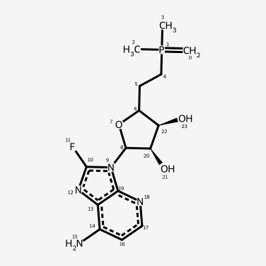 C=P(C)(C)CCC1OC(n2c(F)nc3c(N)ccnc32)[C@H](O)[C@@H]1O